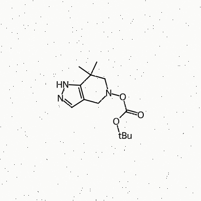 CC(C)(C)OC(=O)ON1Cc2cn[nH]c2C(C)(C)C1